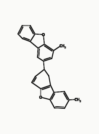 Cc1ccc2oc3c(c2c1)CC(c1cc(C)c2oc4ccccc4c2c1)C=C3